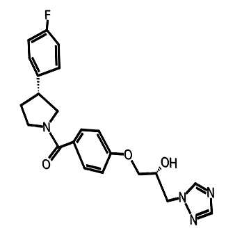 O=C(c1ccc(OC[C@H](O)Cn2cncn2)cc1)N1CC[C@H](c2ccc(F)cc2)C1